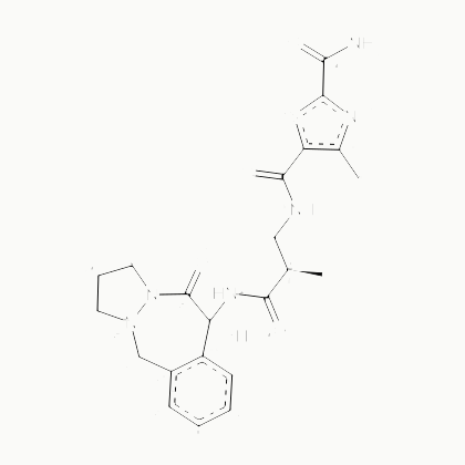 [2H][C@@]1(NC(=O)[C@H](C)CNC(=O)c2sc(C(N)=O)nc2C)C(=O)N2CCCN2Cc2ccccc21